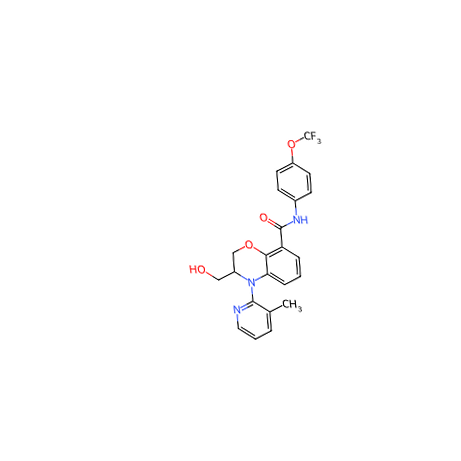 Cc1cccnc1N1c2cccc(C(=O)Nc3ccc(OC(F)(F)F)cc3)c2OCC1CO